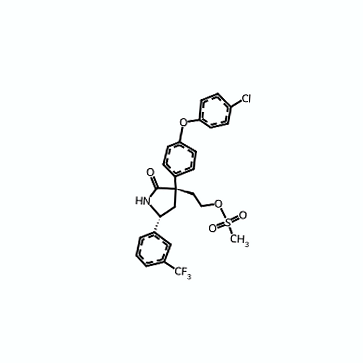 CS(=O)(=O)OCC[C@@]1(c2ccc(Oc3ccc(Cl)cc3)cc2)C[C@H](c2cccc(C(F)(F)F)c2)NC1=O